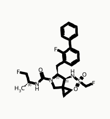 C[C@H](CF)NC(=O)N1CC2(CC2)[C@H](NS(=O)(=O)CF)[C@@H]1Cc1cccc(-c2ccccc2)c1F